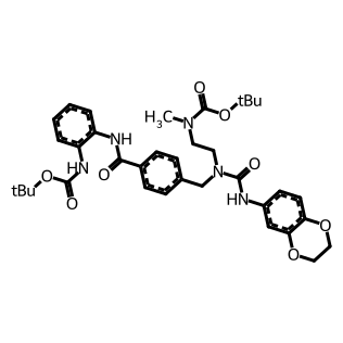 CN(CCN(Cc1ccc(C(=O)Nc2ccccc2NC(=O)OC(C)(C)C)cc1)C(=O)Nc1ccc2c(c1)OCCO2)C(=O)OC(C)(C)C